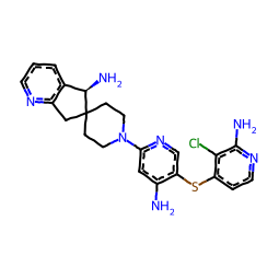 Nc1cc(N2CCC3(CC2)Cc2ncccc2[C@H]3N)ncc1Sc1ccnc(N)c1Cl